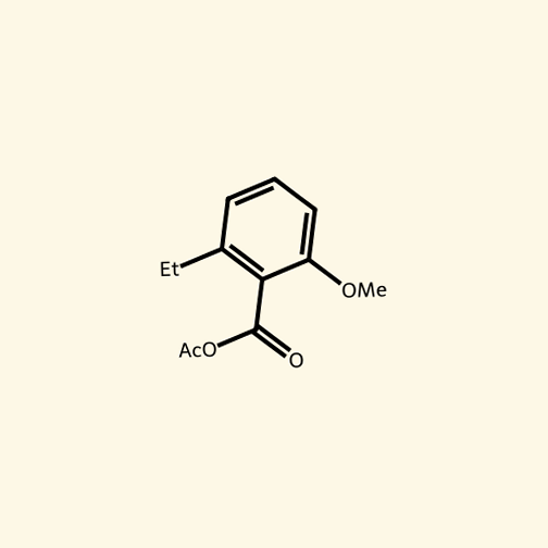 CCc1cccc(OC)c1C(=O)OC(C)=O